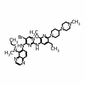 CCSN(C)c1c(Nc2nc(Nc3cc(CC)c(N4CCC(N5CCN(C)CC5)CC4)nc3OC)ncc2Br)ccc2nccnc12